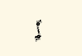 CC(=O)Nc1ccc(SON=CCCCOc2cc3c(cc2C)NC(=O)OC3(C)C)cc1